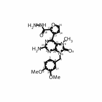 COc1ccc(Cn2c(=O)n(C)c3c(-c4ccoc4C(=O)NN)nc(N)nc32)cc1OC